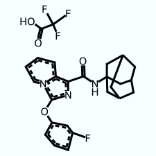 O=C(NC12CC3CC(CC(C3)C1)C2)c1nc(Oc2cccc(F)c2)n2ccccc12.O=C(O)C(F)(F)F